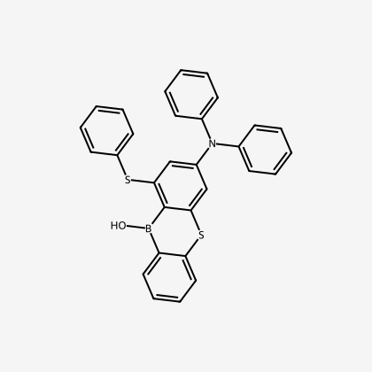 OB1c2ccccc2Sc2cc(N(c3ccccc3)c3ccccc3)cc(Sc3ccccc3)c21